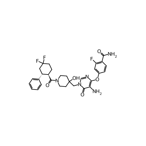 NC(=O)c1ccc(Oc2ncn(CC3(O)CCN(C(=O)[C@@H]4CCC(F)(F)C[C@H]4c4ccccc4)CC3)c(=O)c2N)cc1F